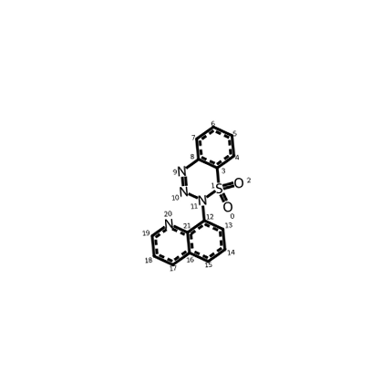 O=S1(=O)c2ccccc2N=NN1c1cccc2cccnc12